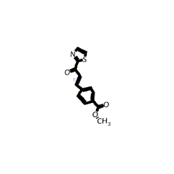 COC(=O)c1ccc(/C=C/C(=O)c2nccs2)cc1